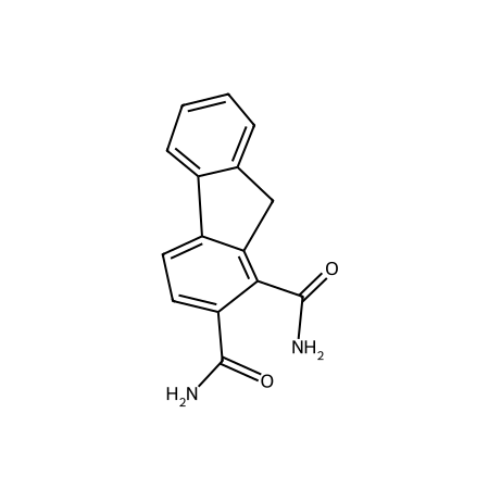 NC(=O)c1ccc2c(c1C(N)=O)Cc1ccccc1-2